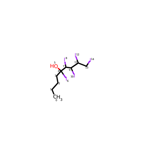 CCCCC(O)(I)C(I)C(I)C(I)CI